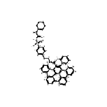 O=C(NC1CCCCC1)NS(=O)(=O)c1ccc(CCNC(=O)c2c(-c3ccccc3F)c(-c3ccccc3F)c(-c3ccccc3F)c(-c3ccccc3F)c2-c2ccccc2F)cc1